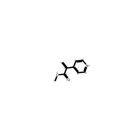 C=C(C(=O)OC)c1ccncc1